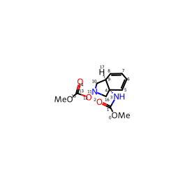 COC(=O)N[C@@]12C=CC=C[C@@H]1CN(OC(=O)OC)C2